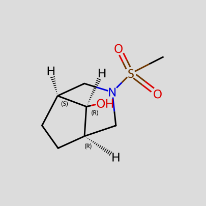 CS(=O)(=O)N1C[C@H]2CC[C@@H](C1)[C@H]2O